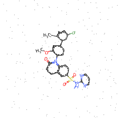 COc1cc(-c2cc(Cl)ccc2C)ccc1-n1c(=O)ccc2cc(S(=O)(=O)Nc3ncccn3)ccc21